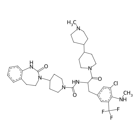 CNc1c(Cl)cc(CC(NC(=O)N2CCC(N3CCc4ccccc4NC3=O)CC2)C(=O)N2CCC(C3CCN(C)CC3)CC2)cc1C(F)(F)F